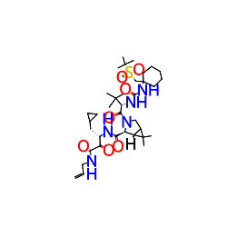 C=CCNC(=O)C(=O)[C@H](CC1CC1)NC(=O)[C@@H]1[C@@H]2C(CN1C(=O)[C@@H](NC(=O)NC1(CS(=O)(=O)C(C)(C)C)CCCCC1)C(C)(C)C)C2(C)C